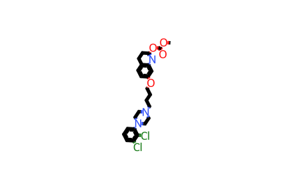 COC(=O)OC1=Nc2cc(OCCCCN3CCN(c4cccc(Cl)c4Cl)CC3)ccc2CC1